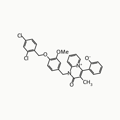 COc1cc(Cn2c(=O)c(C)c(-c3ccccc3[O-])[n+]3ccccc23)ccc1OCc1ccc(Cl)cc1Cl